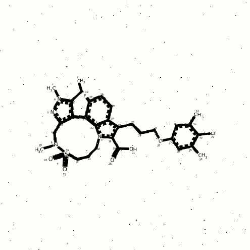 CCc1c2c(nn1C)CN(C)S(=O)(=O)CCCn1c(C(=O)O)c(CCCOc3cc(C)c(Cl)c(C)c3)c3ccc(F)c-2c31